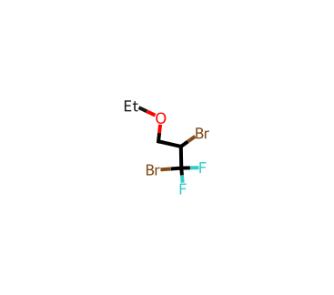 CCOCC(Br)C(F)(F)Br